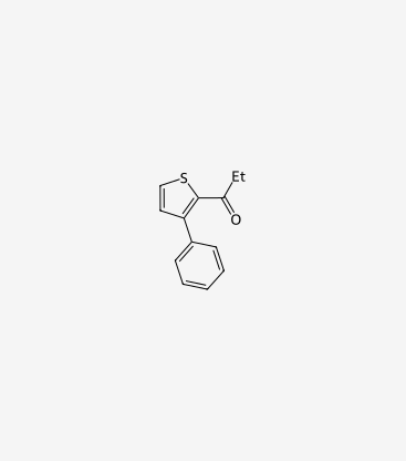 CCC(=O)c1sccc1-c1ccccc1